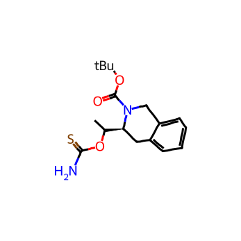 CC(OC(N)=S)[C@@H]1Cc2ccccc2CN1C(=O)OC(C)(C)C